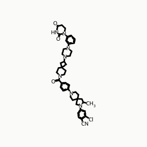 CC1CC2(CCN(c3ccc(C(=O)N4CCC5(CC4)CC(N4CCN(c6cccc(N7CCC(=O)NC7=O)c6)CC4)C5)cc3)CC2)CN1c1ccc(C#N)c(Cl)c1